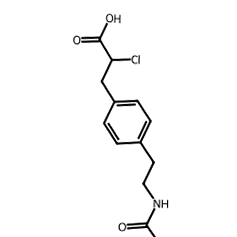 CC(=O)NCCc1ccc(CC(Cl)C(=O)O)cc1